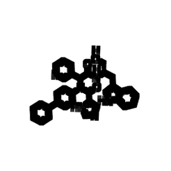 O=C(N[C@@H](CO)Cc1c[nH]c2ccccc12)C(c1cccnc1)N(C(=O)c1cnc[nH]1)c1ccc(-c2ccccc2)cc1